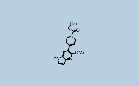 COc1nc2ccn(C)c2cc1C1=CCN(C(=O)OC(C)(C)C)CC1